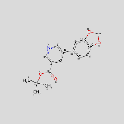 CC(C)(C)OC(=O)c1cncc(-c2ccc3c(c2)OCO3)c1